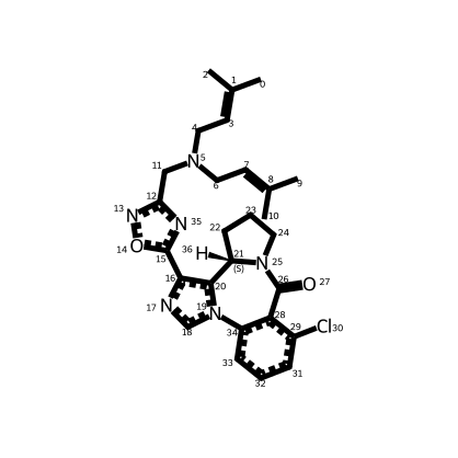 CC(C)=CCN(CC=C(C)C)Cc1noc(-c2ncn3c2[C@@H]2CCCN2C(=O)c2c(Cl)cccc2-3)n1